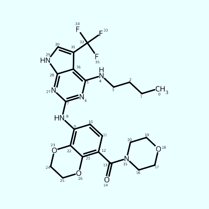 CCCCNc1nc(Nc2ccc(C(=O)N3CCOCC3)c3c2OCCO3)nc2[nH]cc(C(F)(F)F)c12